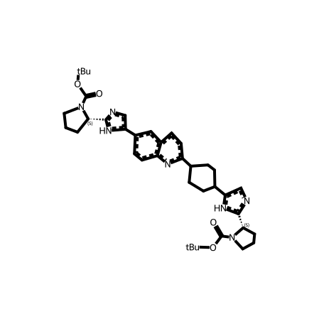 CC(C)(C)OC(=O)N1CCC[C@H]1c1ncc(-c2ccc3nc(C4CCC(c5cnc([C@@H]6CCCN6C(=O)OC(C)(C)C)[nH]5)CC4)ccc3c2)[nH]1